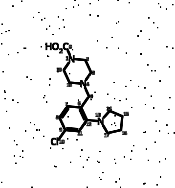 O=C(O)N1CCN(Cc2ccc(Cl)cc2N2CCCC2)CC1